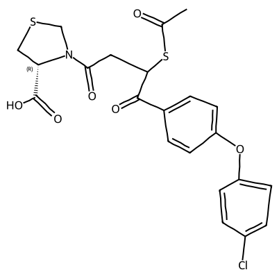 CC(=O)SC(CC(=O)N1CSC[C@H]1C(=O)O)C(=O)c1ccc(Oc2ccc(Cl)cc2)cc1